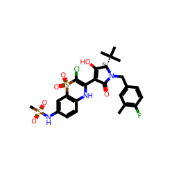 Cc1cc(CN2C(=O)C(C3=C(Cl)S(=O)(=O)c4cc(NS(C)(=O)=O)ccc4N3)=C(O)[C@@H]2C(C)(C)C)ccc1F